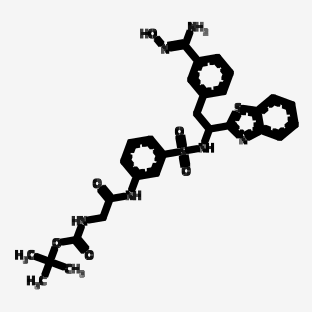 CC(C)(C)OC(=O)NCC(=O)Nc1cccc(S(=O)(=O)NC(Cc2cccc(C(N)=NO)c2)c2nc3ccccc3s2)c1